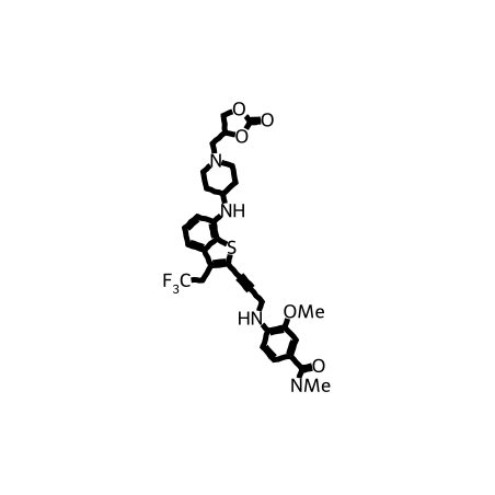 CNC(=O)c1ccc(NCC#Cc2sc3c(NC4CCN(CC5COC(=O)O5)CC4)cccc3c2CC(F)(F)F)c(OC)c1